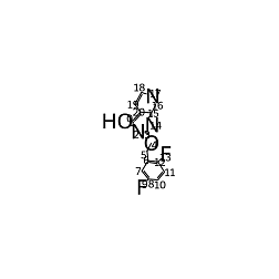 Oc1nc(OCc2cc(F)ccc2F)nc2cnccc12